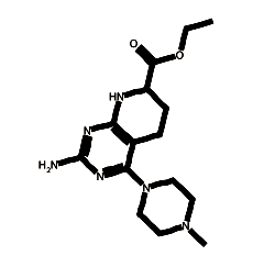 CCOC(=O)C1CCc2c(nc(N)nc2N2CCN(C)CC2)N1